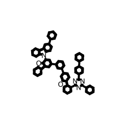 c1ccc(-c2ccc(-c3nc(-c4ccccc4)nc(-c4cccc5oc6cc(-c7cccc(-c8cc(-n9c%10ccccc%10c%10cc(-c%11ccccc%11)ccc%109)c9oc%10ccccc%10c9c8)c7)ccc6c45)n3)cc2)cc1